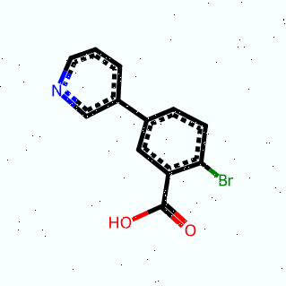 O=C(O)c1cc(-c2cccnc2)ccc1Br